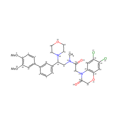 COc1ccc(-c2cccc(C(CN(C)C(=O)CN3C(=O)COc4cc(Cl)c(Cl)cc43)N3CCOCC3)c2)cc1OC